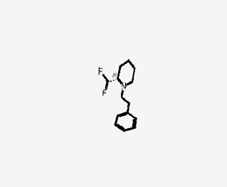 FC(F)[C@@H]1CCCCN1CCc1ccccc1